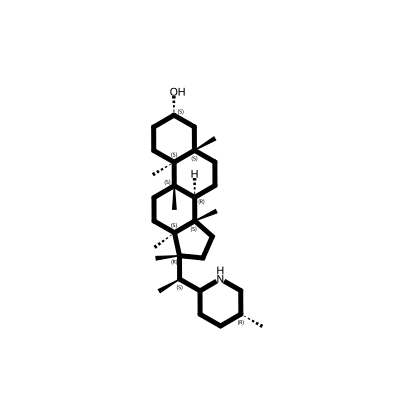 C[C@@H]1CCC([C@@H](C)[C@@]2(C)CC[C@@]3(C)[C@@H]4CC[C@@]5(C)C[C@@H](O)CC[C@]5(C)[C@@]4(C)CC[C@@]32C)NC1